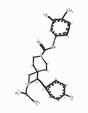 Cc1ccc(NC(=O)N2CCC3(CC2)CN(C(C)C)C3c2ccc(Cl)cc2)cc1F